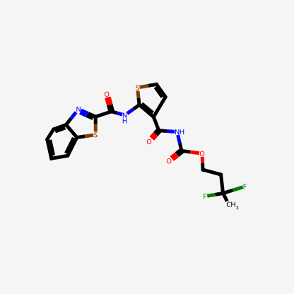 CC(F)(F)CCOC(=O)NC(=O)c1ccsc1NC(=O)c1nc2ccccc2s1